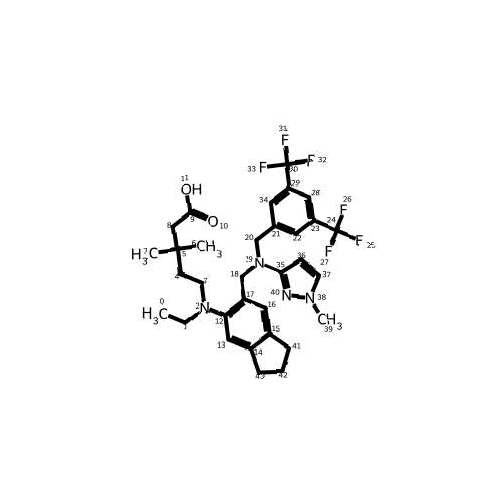 CCN(CCC(C)(C)CC(=O)O)c1cc2c(cc1CN(Cc1cc(C(F)(F)F)cc(C(F)(F)F)c1)c1ccn(C)n1)CCC2